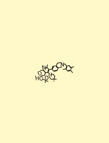 Cc1cc(C)c(CN2CCc3cc(-c4c(C)nc(C)c(C(OC(C)(C)C)C(=O)O)c4N4CCC(C)(C)CC4)ccc3C2)cc1C